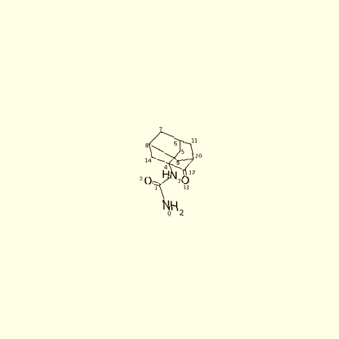 NC(=O)NC12CC3CC(CC(C3)C1=O)C2